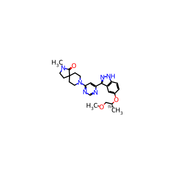 COC[C@H](C)Oc1ccc2[nH]nc(-c3cc(N4CCC5(CCN(C)C5=O)CC4)ncn3)c2c1